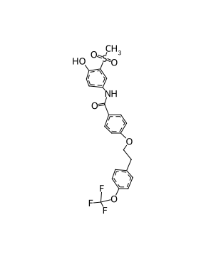 CS(=O)(=O)c1cc(NC(=O)c2ccc(OCCc3ccc(OC(F)(F)F)cc3)cc2)ccc1O